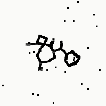 CCC[C@H]1CCC12CCN(C(C)=O)CCN(C(=O)c1ccccc1)C2=O